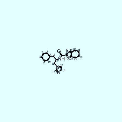 O=C(NC(Cc1ccccc1)Cn1ccnc1)c1nc2ccccc2s1